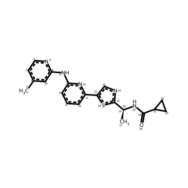 Cc1ccnc(Nc2cccc(-c3cnc([C@H](C)NC(=O)C4CC4)s3)n2)c1